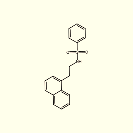 O=S(=O)(NCCc1cccc2ccccc12)c1ccccc1